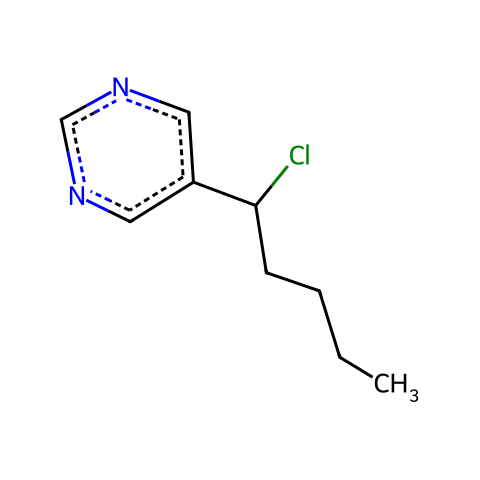 CCCCC(Cl)c1cncnc1